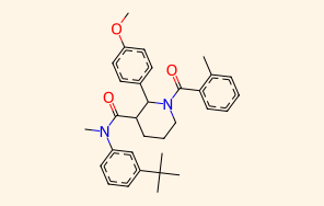 COc1ccc(C2C(C(=O)N(C)c3cccc(C(C)(C)C)c3)CCCN2C(=O)c2ccccc2C)cc1